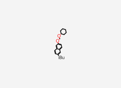 CCC(C)c1ccc2cc(OCOC3CCCCC3)ccc2c1